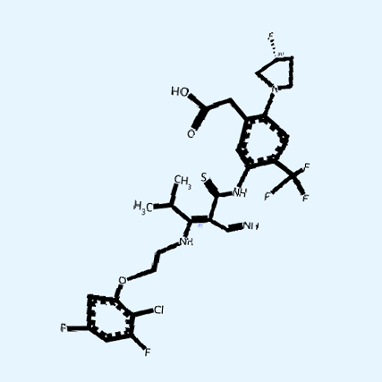 CC(C)/C(NCCOc1cc(F)cc(F)c1Cl)=C(/C=N)C(=S)Nc1cc(CC(=O)O)c(N2CC[C@@H](F)C2)cc1C(F)(F)F